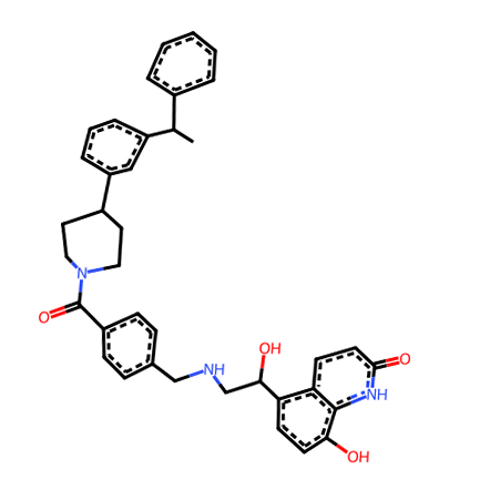 CC(c1ccccc1)c1cccc(C2CCN(C(=O)c3ccc(CNCC(O)c4ccc(O)c5[nH]c(=O)ccc45)cc3)CC2)c1